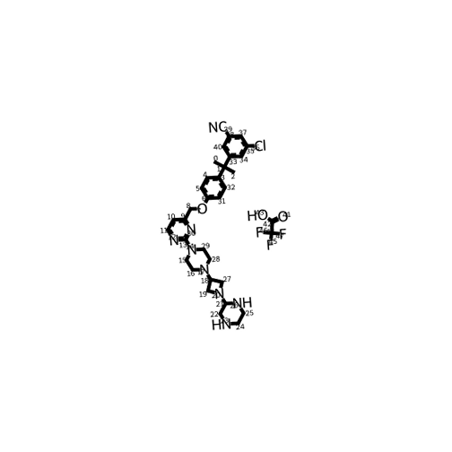 CC(C)(c1ccc(OCc2ccnc(N3CCN(C4CN(C5CNCCN5)C4)CC3)n2)cc1)c1cc(Cl)cc(C#N)c1.O=C(O)C(F)(F)F